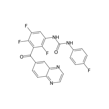 O=C(Nc1ccc(F)cc1)Nc1cc(F)c(F)c(C(=O)c2ccc3nccnc3c2)c1F